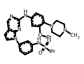 CC(C)Oc1cc(Nc2ncc3ccn(-c4cccc(NS(=O)(=O)C(C)C)c4)c3n2)ccc1N1CCN(C)CC1